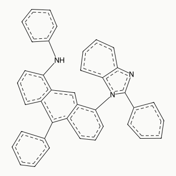 c1ccc(Nc2cccc3c(-c4ccccc4)c4cccc(-n5c(-c6ccccc6)nc6ccccc65)c4cc23)cc1